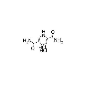 Cl.Cl.NC(=O)C1=CNC(C(N)=O)=CC1